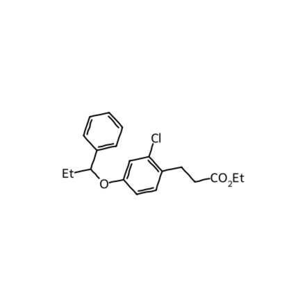 CCOC(=O)CCc1ccc(OC(CC)c2ccccc2)cc1Cl